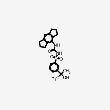 CC(C)(O)c1cccc(S(=O)(=O)NC(=O)Nc2c3c(cc4c2CCC4)CCC3)c1